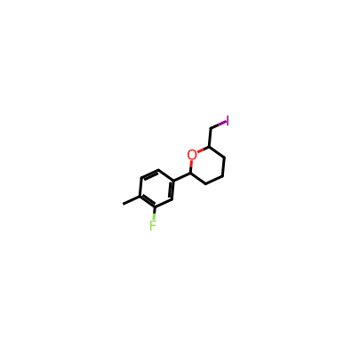 Cc1ccc(C2CCCC(CI)O2)cc1F